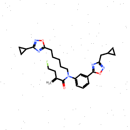 C=C(CCF)C(=O)N(CCCCCc1nc(C2CC2)no1)c1cccc(-c2nc(CC3CC3)no2)c1